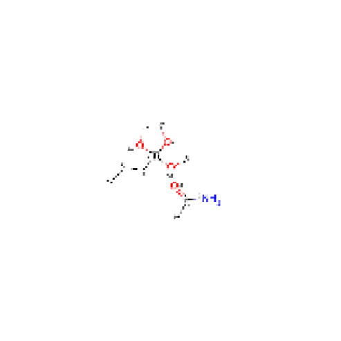 CC(N)=O.CC[CH2][Ti]([O]C)([O]C)[O]C